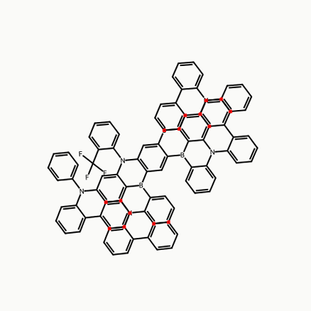 FC(F)(F)c1ccccc1N1c2cc3c(cc2B2c4ccccc4N(c4ccccc4-c4ccccc4)c4cc(N(c5ccccc5)c5ccccc5-c5ccccc5)cc1c42)B1c2ccccc2N(c2ccccc2-c2ccccc2)c2cc(N(c4ccccc4)c4ccccc4-c4ccccc4)cc(c21)S3